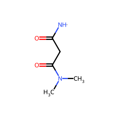 CN(C)C(=O)CC([NH])=O